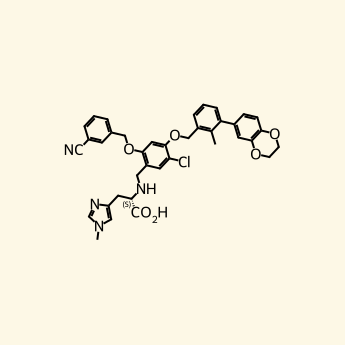 Cc1c(COc2cc(OCc3cccc(C#N)c3)c(CN[C@@H](Cc3cn(C)cn3)C(=O)O)cc2Cl)cccc1-c1ccc2c(c1)OCCO2